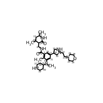 Cc1c(C(=O)NCC2C(=O)NC(C)CC2C)cc(C2CNN(CCN3CCOCC3)C2)cc1N(C)C1CCNCC1